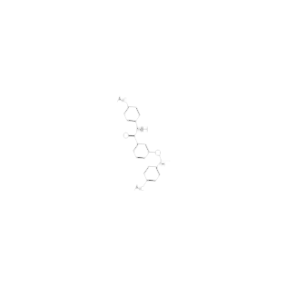 CC(=O)c1ccc(NC(=O)c2cccc(O[C@H](C)c3ccc(C(C)=O)cc3)c2)cc1